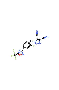 N#Cc1ncn(Cc2ccc(-c3noc(C(F)(F)F)n3)cc2F)c1C#N